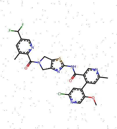 COc1cnc(Cl)cc1-c1cc(C)ncc1C(=O)Nc1nc2c(s1)CN(C(=O)c1ncc(C(F)F)cc1C)C2